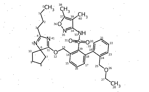 CCCCC1=NC2(CCCC2)C(OCc2cccc(-c3ccccc3COCC)c2S(=O)(=O)Nc2noc(C)c2C)=N1